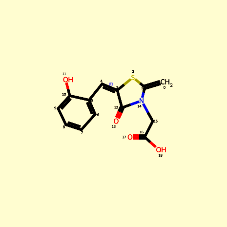 C=c1s/c(=C/c2ccccc2O)c(=O)n1CC(=O)O